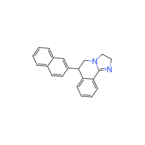 c1ccc2c(c1)C1=NCCN1CC2c1ccc2ccccc2c1